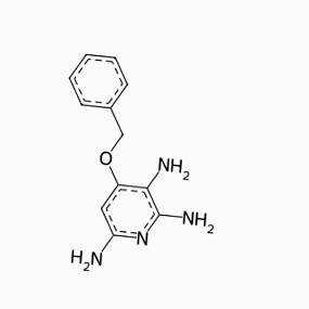 Nc1cc(OCc2ccccc2)c(N)c(N)n1